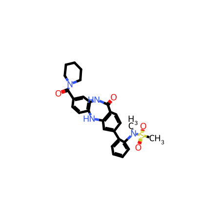 CN(c1ccccc1-c1ccc2c(c1)Nc1ccc(C(=O)N3CCCCC3)cc1NC2=O)S(C)(=O)=O